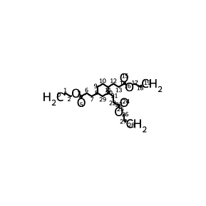 C=CCOC(=O)CCC1CCC(CCC(=O)OCC=C)C(CCC(=O)OCC=C)C1